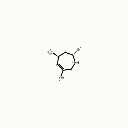 C[C@@H]1C=C(O)CN[C@@H](Br)C1